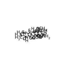 CC(C)C1C(=O)Nc2c(O)c3c(c(F)c2CN1C)C[C@H]1C[C@H]2[C@H](N(C)C)C(O)=C(C(N)=O)C(=O)[C@@]2(O)C(O)=C1C3=O